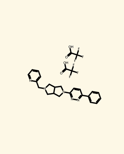 O=C(O)C(F)(F)F.O=C(O)C(F)(F)F.c1ccc(-c2ccc(N3CC4CN(Cc5ccccn5)CC4C3)nn2)cc1